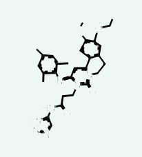 CCOc1cc2c(cc1OC)-c1c/c(=N\c3c(C)cc(C)cc3C)n(CCC(=O)Nc3cnn[nH]3)c(=O)n1CC2